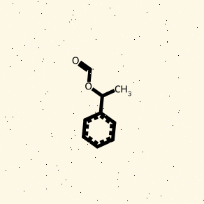 CC(O[C]=O)c1ccccc1